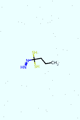 [CH2]CCC(S)(S)N=N